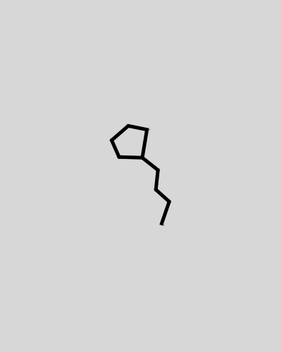 [CH2]CCCC1[CH]CCC1